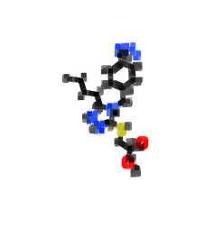 CCCCc1nnc(SCC(=O)OC)n1Cc1ccc(N)cc1